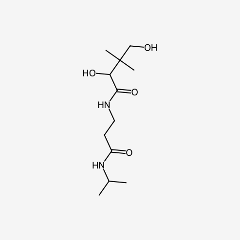 CC(C)NC(=O)CCNC(=O)C(O)C(C)(C)CO